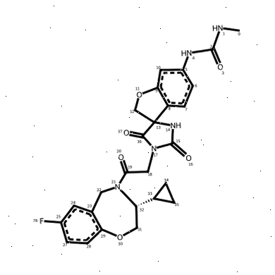 CNC(=O)Nc1ccc2c(c1)OCC21NC(=O)N(CC(=O)N2Cc3cc(F)ccc3OC[C@H]2C2CC2)C1=O